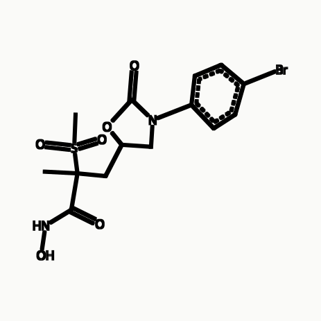 CC(CC1CN(c2ccc(Br)cc2)C(=O)O1)(C(=O)NO)S(C)(=O)=O